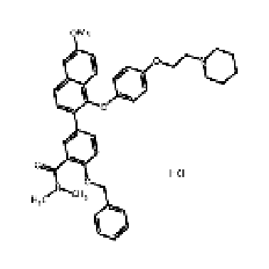 COc1ccc2c(Oc3ccc(OCCN4CCCCC4)cc3)c(-c3ccc(OCc4ccccc4)c(C(=O)N(C)C)c3)ccc2c1.Cl